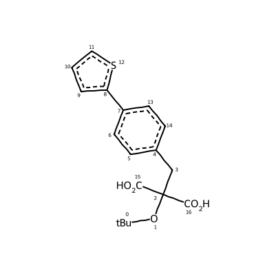 CC(C)(C)OC(Cc1ccc(-c2cccs2)cc1)(C(=O)O)C(=O)O